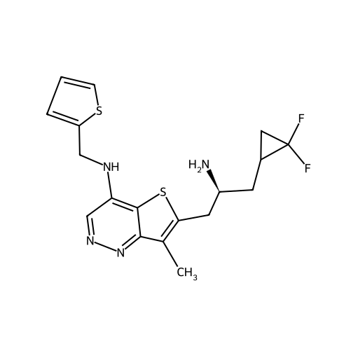 Cc1c(C[C@@H](N)CC2CC2(F)F)sc2c(NCc3cccs3)cnnc12